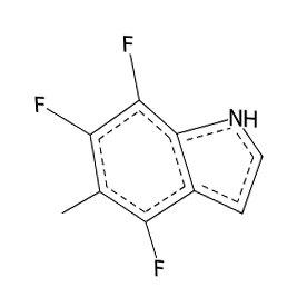 Cc1c(F)c(F)c2[nH]ccc2c1F